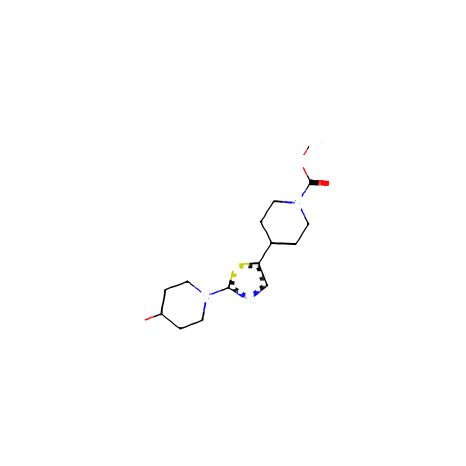 CC(C)(C)OC(=O)N1CCC(c2cnc(N3CCC(O)CC3)s2)CC1